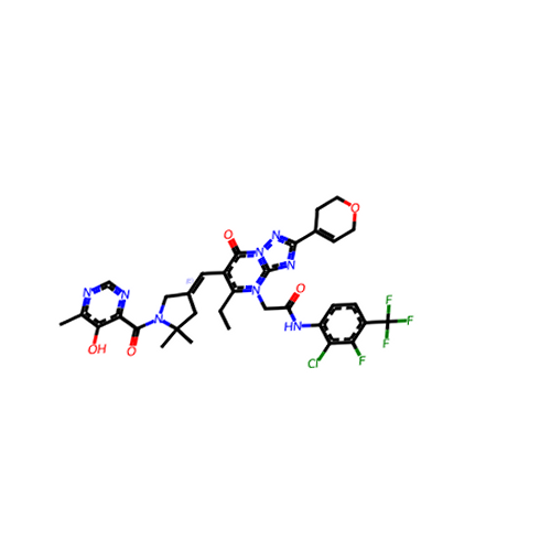 CCc1c(/C=C2/CN(C(=O)c3ncnc(C)c3O)C(C)(C)C2)c(=O)n2nc(C3=CCOCC3)nc2n1CC(=O)Nc1ccc(C(F)(F)F)c(F)c1Cl